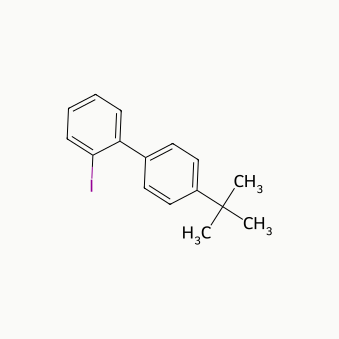 CC(C)(C)c1ccc(-c2ccccc2I)cc1